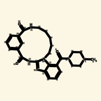 CN1CCN(C(=O)c2cccc3nc4n(c23)CCCCCNC(=O)c2cccc(c2)C(=O)N4)CC1